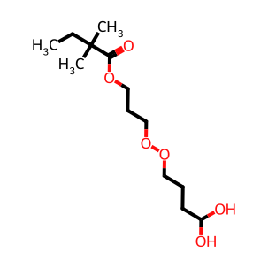 CCC(C)(C)C(=O)OCCCOOCCCC(O)O